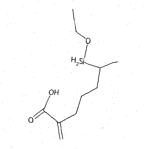 C=C(CCCC(C)[SiH2]OCC)C(=O)O